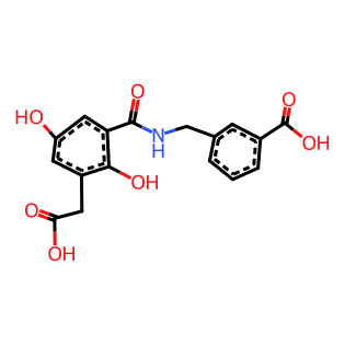 O=C(O)Cc1cc(O)cc(C(=O)NCc2cccc(C(=O)O)c2)c1O